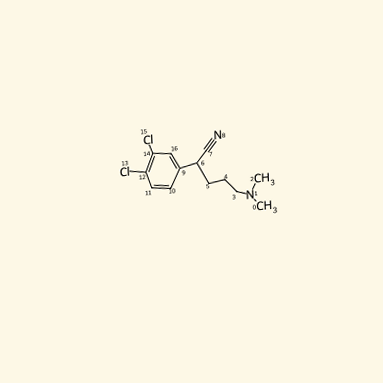 CN(C)CCCC(C#N)c1ccc(Cl)c(Cl)c1